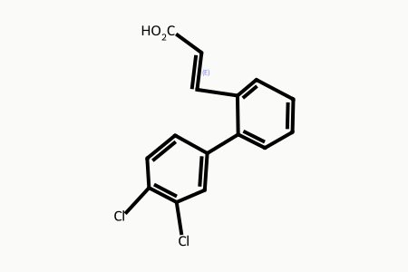 O=C(O)/C=C/c1ccccc1-c1ccc(Cl)c(Cl)c1